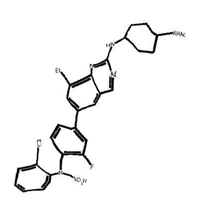 CCc1cc(-c2ccc(N(c3ccccc3Cl)S(=O)(=O)O)c(F)c2)cc2cnc(NC3CCC(NC(C)=O)CC3)nc12